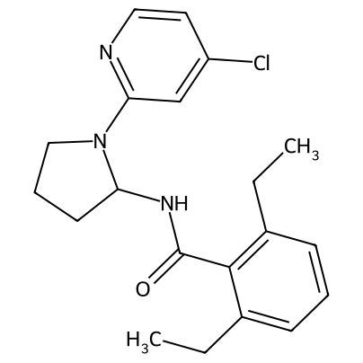 CCc1cccc(CC)c1C(=O)NC1CCCN1c1cc(Cl)ccn1